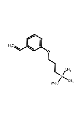 C=Cc1cccc(OCCC[Si](C)(C)OC)c1